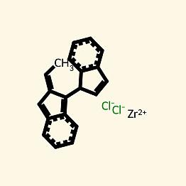 CC=C1C=c2ccccc2=C1C1C=Cc2ccccc21.[Cl-].[Cl-].[Zr+2]